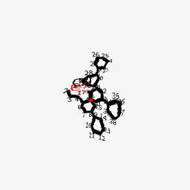 C[O+]1CC=C(c2ccc(-c3ccccc3)cc2)[B-]1(c1ccc(-c2ccccc2)cc1)c1ccc(-c2ccccc2)cc1